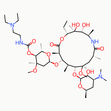 CC[C@H]1OC(=O)[C@H](C)[C@@H](O[C@H]2C[C@@](C)(OC)[C@@H](OC(=O)NCCN(CC)CC)[C@H](C)O2)[C@H](C)[C@@H](O[C@@H]2O[C@H](C)C[C@H](N(C)C)[C@H]2O)[C@](C)(OC)C[C@@H](C)C(=O)N[C@H](C)[C@@H](O)[C@]1(C)O